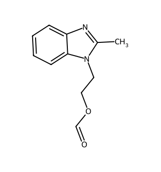 Cc1nc2ccccc2n1CCOC=O